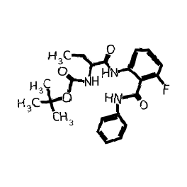 CCC(NC(=O)OC(C)(C)C)C(=O)Nc1cccc(F)c1C(=O)Nc1ccccc1